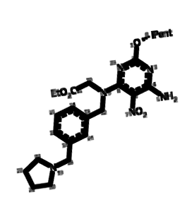 CCC[C@@H](C)Oc1nc(N)c([N+](=O)[O-])c(N(CC(=O)OCC)Cc2cccc(CN3CCCC3)c2)n1